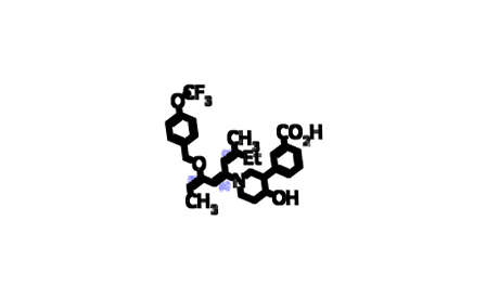 C\C=C(/C=C(\C=C(\C)CC)N1CCC(O)C(c2cccc(C(=O)O)c2)C1)OCc1ccc(OC(F)(F)F)cc1